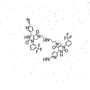 N#Cc1ccc(C2NC(=O)N(c3cccc(C(F)(F)F)c3)C3=C2C(=O)N(CCCNCCCN2CC4=C(C2=O)C(c2ccc([C@H]5CN5)nc2)NC(=O)N4c2cccc(C(F)(F)F)c2)C3)cn1